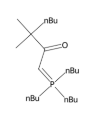 CCCCC(C)(C)C(=O)C=P(CCCC)(CCCC)CCCC